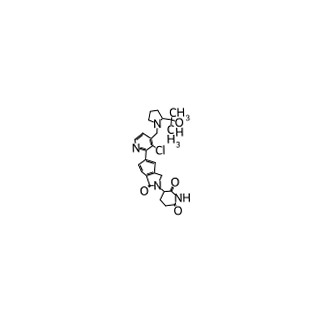 CC(C)(O)C1CCCN1Cc1ccnc(-c2ccc3c(c2)CN(C2CCC(=O)NC2=O)C3=O)c1Cl